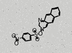 O=[N+]([O-])c1ccc(S(=O)(=O)ON2C=c3cc4ccccc4cc3=NC2)cc1